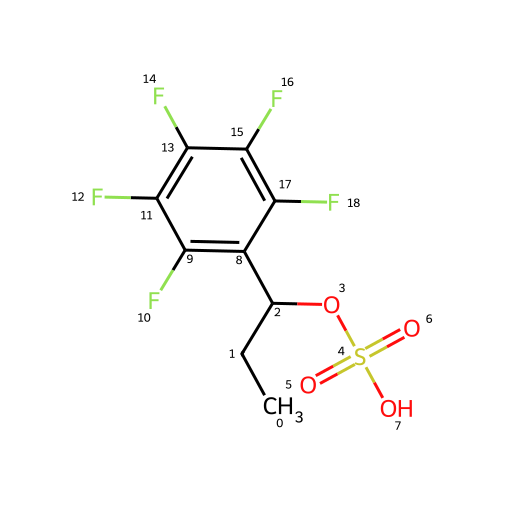 CCC(OS(=O)(=O)O)c1c(F)c(F)c(F)c(F)c1F